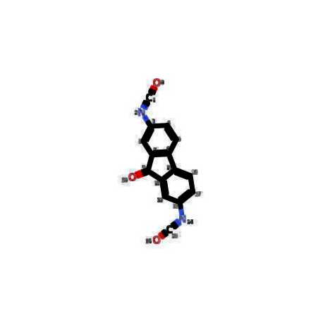 O=C=Nc1ccc2c(c1)C(=O)c1cc(N=C=O)ccc1-2